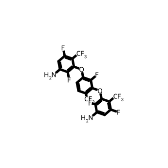 Nc1cc(F)c(C(F)(F)F)c(Oc2ccc(C(F)(F)F)c(Oc3c(F)c(N)cc(F)c3C(F)(F)F)c2F)c1F